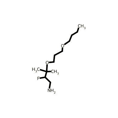 CCCCOCCCOC(C)(C)C(F)CN